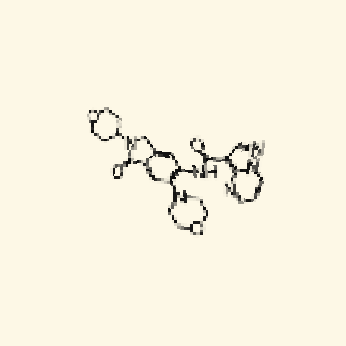 O=C(Nc1cc2c(cc1N1CCOCC1)C(=O)N(C1CCOCC1)C2)c1cnn2cccnc12